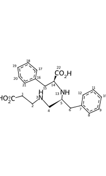 O=C(O)CCNC[C@H](Cc1ccccc1)N[C@@H](Cc1ccccc1)C(=O)O